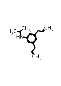 C=CCc1cc(CC=C)cc(NC(C)C)c1